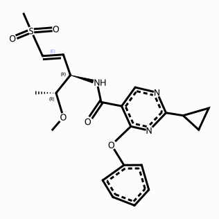 CO[C@H](C)[C@@H](/C=C/S(C)(=O)=O)NC(=O)c1cnc(C2CC2)nc1Oc1ccccc1